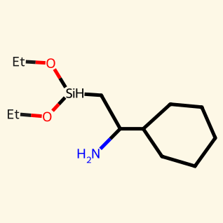 CCO[SiH](CC(N)C1CCCCC1)OCC